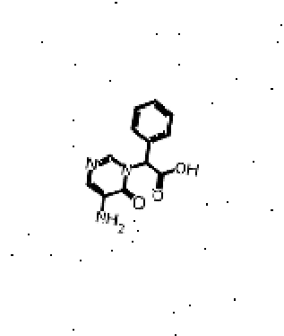 Nc1cncn(C(C(=O)O)c2ccccc2)c1=O